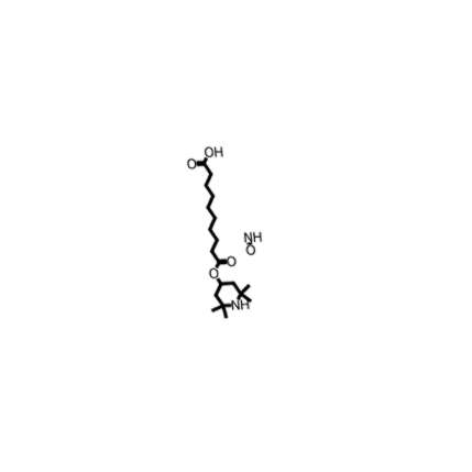 CC1(C)CC(OC(=O)CCCCCCCCC(=O)O)CC(C)(C)N1.N=O